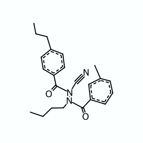 CCCCN(C(=O)c1cccc(C)c1)N(C#N)C(=O)c1ccc(CCC)cc1